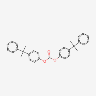 CC(C)(c1ccccc1)c1ccc(OC(=O)Oc2ccc(C(C)(C)c3ccccc3)cc2)cc1